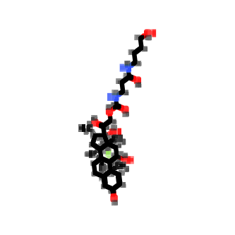 C[C@H]1C[C@@H]2[C@H]3CCC4=CC(=O)C=C[C@@]4(C)[C@]3(F)[C@H](O)C[C@@]2(C)[C@]1(O)C(=O)COC(=O)NCCC(=O)NCCCCO